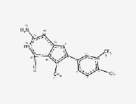 Cc1c(-c2ccc(Cl)c(C(F)(F)F)c2)sc2nc(N)[nH]c(=O)c12